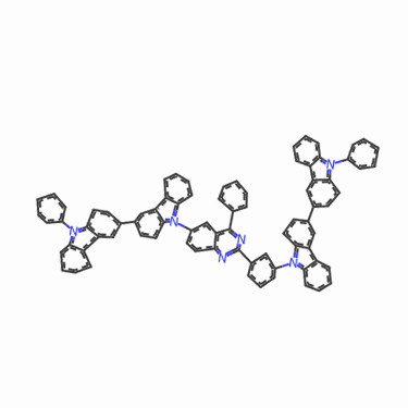 c1ccc(-c2nc(-c3cccc(-n4c5ccccc5c5cc(-c6ccc7c(c6)c6ccccc6n7-c6ccccc6)ccc54)c3)nc3ccc(-n4c5ccccc5c5cc(-c6ccc7c(c6)c6ccccc6n7-c6ccccc6)ccc54)cc23)cc1